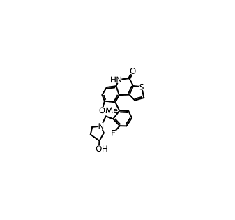 COc1ccc2[nH]c(=O)c3sccc3c2c1-c1cccc(F)c1CN1CCC(O)C1